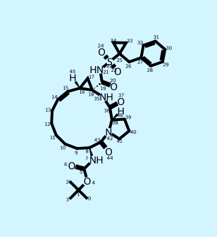 CC(C)(C)OC(=O)N[C@H]1CCCCC/C=C\[C@@H]2C[C@@]2(C(=O)NS(=O)(=O)C2(Cc3ccccc3)CC2)NC(=O)[C@@H]2CCCN2C1=O